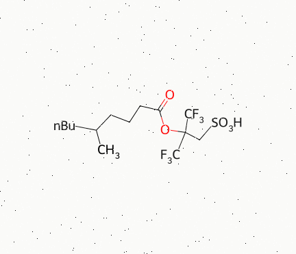 CCCCC(C)CCCC(=O)OC(CS(=O)(=O)O)(C(F)(F)F)C(F)(F)F